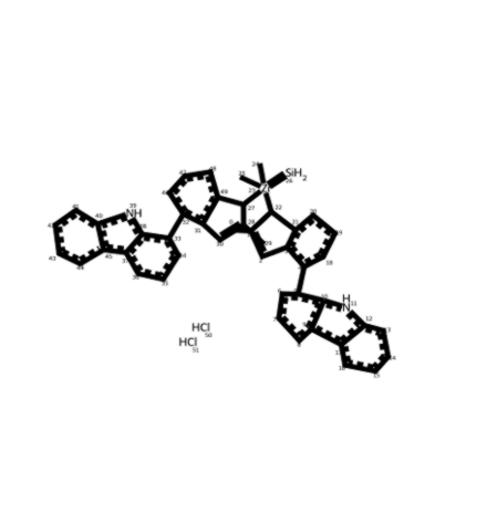 CC1=Cc2c(-c3cccc4c3[nH]c3ccccc34)cccc2[CH]1[Zr]([CH3])([CH3])(=[SiH2])[CH]1C(C)=Cc2c(-c3cccc4c3[nH]c3ccccc34)cccc21.Cl.Cl